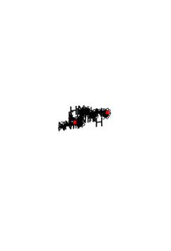 CN(C)CCNc1cc(F)cc(-c2cccc3[nH]c(-c4n[nH]c5ccc(-c6cncc(CNCc7ccccc7)c6)cc45)cc23)c1